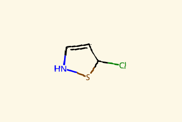 ClC1[C]=CNS1